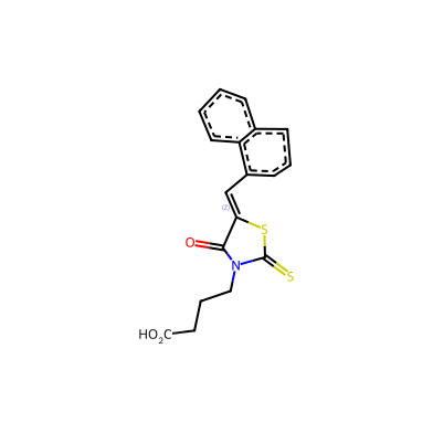 O=C(O)CCCN1C(=O)/C(=C/c2cccc3ccccc23)SC1=S